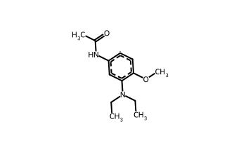 CCN(CC)c1cc(NC(C)=O)[c]cc1OC